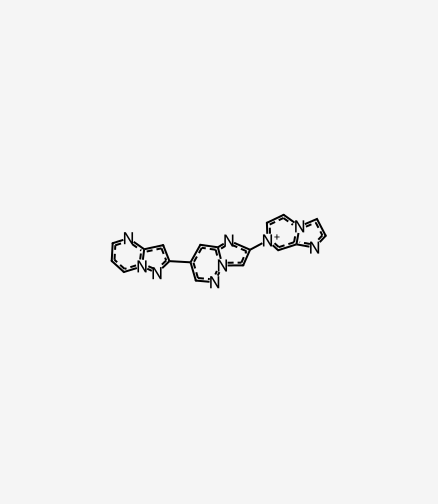 c1cnc2cc(-c3cnn4cc(-[n+]5ccn6ccnc6c5)nc4c3)nn2c1